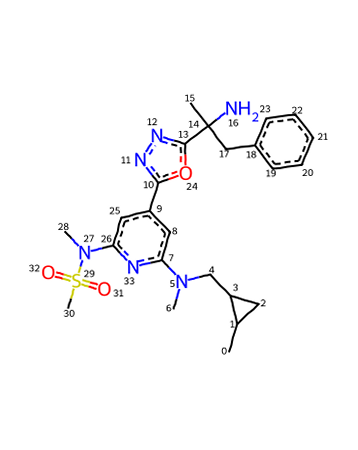 CC1CC1CN(C)c1cc(-c2nnc(C(C)(N)Cc3ccccc3)o2)cc(N(C)S(C)(=O)=O)n1